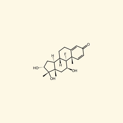 C[C@]12C=CC(=O)C=C1CC[C@H]1[C@@H]3C[C@@H](O)[C@@](C)(O)[C@@]3(C)C[C@H](O)[C@@]12F